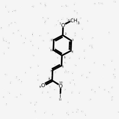 COc1ccc(/C=C/C(=O)OI)cc1